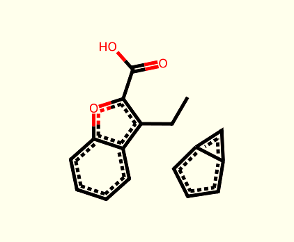 CCc1c(C(=O)O)oc2ccccc12.c1cc2cc-2c1